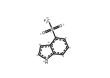 O=S(=O)(c1cccc2[nH]ccc12)C(F)(F)F